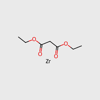 CCOC(=O)CC(=O)OCC.[Zr]